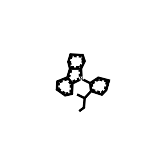 CCC(C)c1ccccc1-n1c2ccccc2c2ccccc21